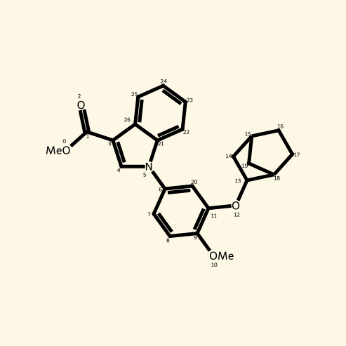 COC(=O)c1cn(-c2ccc(OC)c(OC3CC4CCC3C4)c2)c2ccccc12